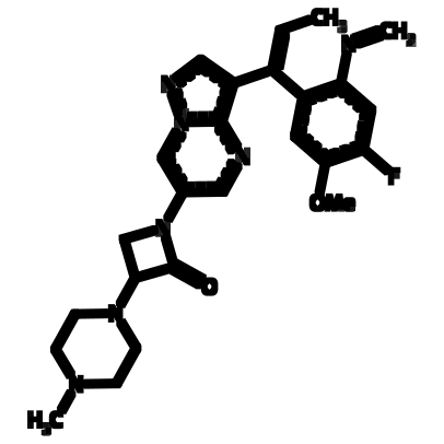 C=Nc1cc(F)c(OC)cc1/C(=C\C)c1cnn2cc(N3CC(N4CCN(C)CC4)C3=O)cnc12